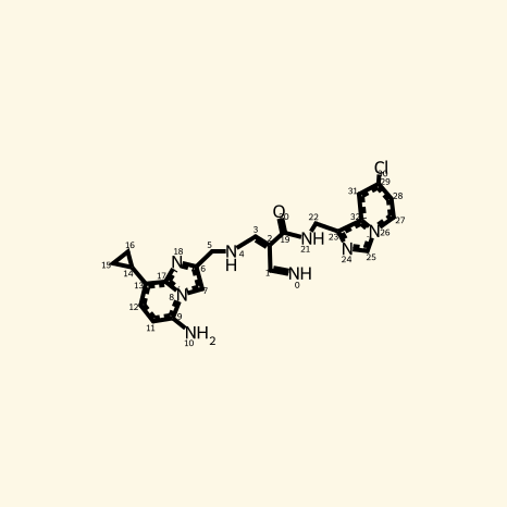 N=C/C(=C\NCc1cn2c(N)ccc(C3CC3)c2n1)C(=O)NCc1ncn2ccc(Cl)cc12